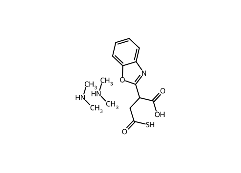 CNC.CNC.O=C(S)CC(C(=O)O)c1nc2ccccc2o1